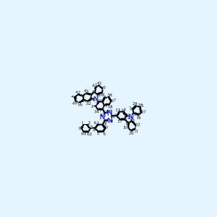 c1ccc(-c2cccc(-c3nc(-c4ccc5c(c4)c4ccccc4n5-c4ccccc4)nc(-c4ccc(-n5c6ccccc6c6cc7ccccc7cc65)c5ccccc45)n3)c2)cc1